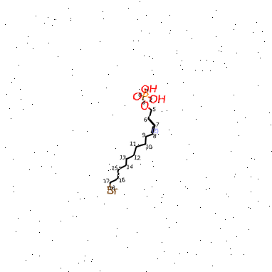 O=P(O)(O)OCC/C=C\CCCCCCCCCBr